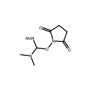 CNC(ON1C(=O)CCC1=O)N(C)C